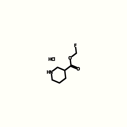 Cl.O=C(OCF)C1CCCNC1